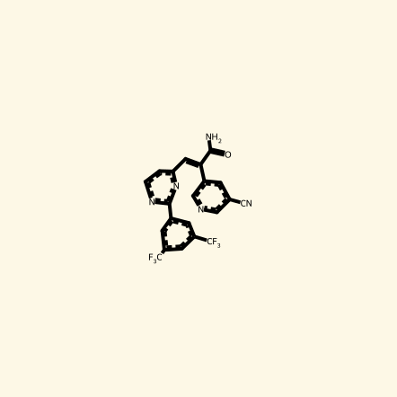 N#Cc1cncc(/C(=C\c2ccnc(-c3cc(C(F)(F)F)cc(C(F)(F)F)c3)n2)C(N)=O)c1